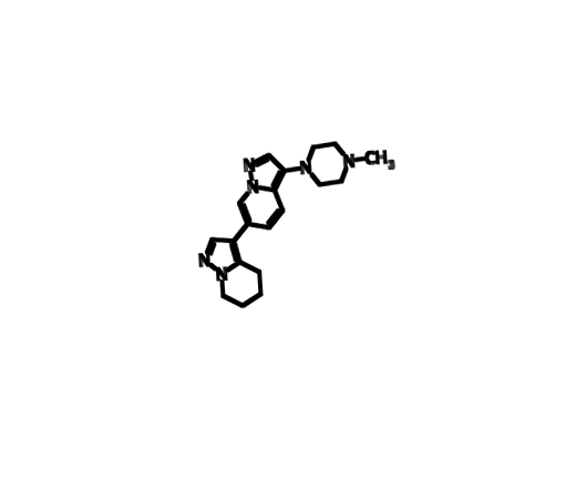 CN1CCN(c2cnn3cc(-c4cnn5c4CCCC5)ccc23)CC1